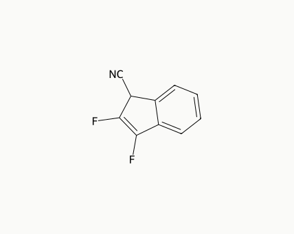 N#CC1C(F)=C(F)c2ccccc21